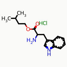 CC(C)CCOC(=O)C(N)Cc1c[nH]c2ccccc12.Cl